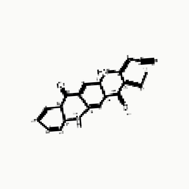 C#C/C=C1/NC2C=C3C(=O)C4C=CC=CC4NC3=CC2C(=O)/C1=C/C